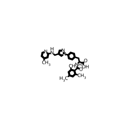 Cc1ccnc(NCc2cnn(-c3ccc(CC(NC(=O)c4c(C)cc(C)cc4C)C(=O)O)cc3)c2)c1